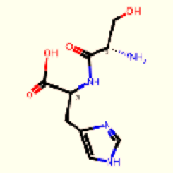 N[C@@H](CO)C(=O)N[C@@H](Cc1c[nH]cn1)C(=O)O